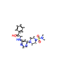 CN(C)S(=O)(=O)N1CCN(c2cc(NCC(O)c3ccccc3)ncn2)CC1